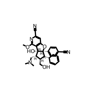 COc1nc(C#N)cc2c1[C@]1(O)[C@@H](CN(C)C)[C@H](CO)[C@@H](C3C=CC=CC3)[C@]1(c1ccc(C#N)cc1)O2